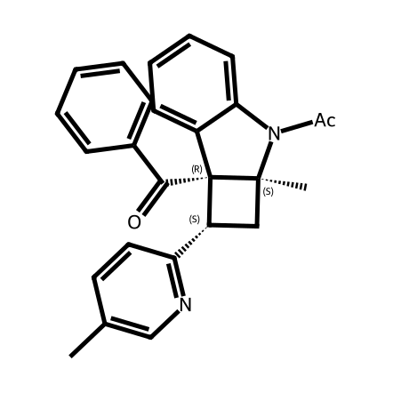 CC(=O)N1c2ccccc2[C@]2(C(=O)c3ccccc3)[C@@H](c3ccc(C)cn3)C[C@]12C